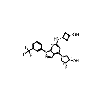 O[C@H]1CN(c2nc(N[C@H]3C[C@@H](O)C3)nc3c2cnn3-c2cccc(C(F)(F)F)c2)C[C@@H]1F